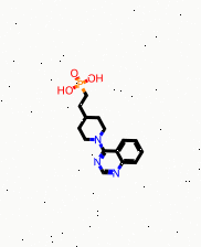 O=P(O)(O)CCC1CCN(c2ncnc3ccccc23)CC1